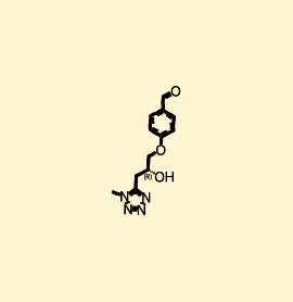 Cn1nnnc1C[C@@H](O)COc1ccc(C=O)cc1